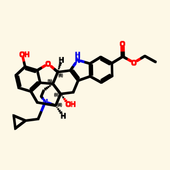 CCOC(=O)c1ccc2c3c([nH]c2c1)[C@@H]1Oc2c(O)ccc4c2[C@@]12CCN(CC1CC1)[C@H](C4)[C@]2(O)C3